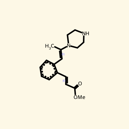 COC(=O)/C=C/c1ccccc1/C=C(\C)N1CCNCC1